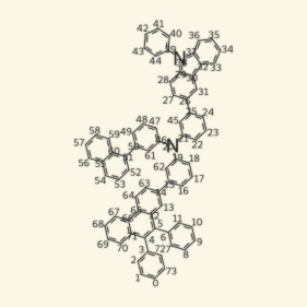 c1ccc(-c2c(-c3ccccc3)c3cc(-c4cccc(N(c5cccc(-c6ccc7c(c6)c6ccccc6n7-c6ccccc6)c5)c5cccc(-c6cccc7ccccc67)c5)c4)ccc3c3ccccc23)cc1